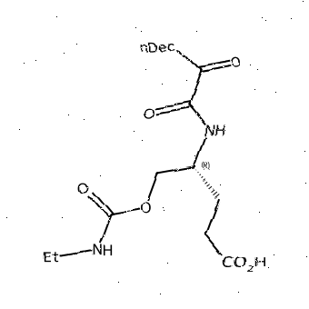 CCCCCCCCCCC(=O)C(=O)N[C@H](CCC(=O)O)COC(=O)NCC